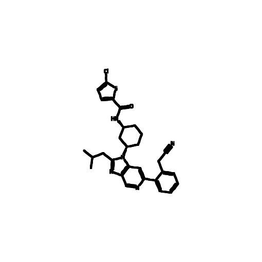 CC(C)Cc1nc2cnc(-c3ccccc3CC#N)cc2n1[C@@H]1CCC[C@H](NC(=O)c2ccc(Cl)s2)C1